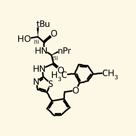 CCC[C@H](NC(=O)[C@@H](O)C(C)(C)C)C(=O)Nc1ncc(-c2ccccc2COc2cc(C)ccc2C)s1